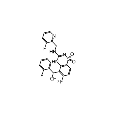 C[C@@H](c1ccccc1F)c1c(F)ccc2c1NC(NCc1ncccc1F)=NS2(=O)=O